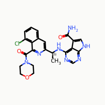 C[C@H](Nc1ncnc2[nH]cc(C(N)=O)c12)c1cc2cccc(Cl)c2c(C(=O)N2CCOCC2)n1